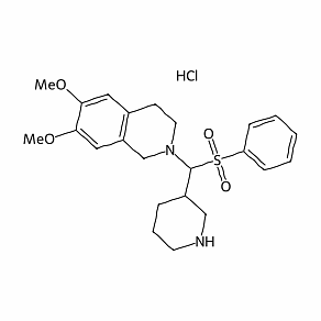 COc1cc2c(cc1OC)CN(C(C1CCCNC1)S(=O)(=O)c1ccccc1)CC2.Cl